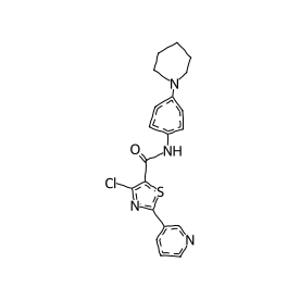 O=C(Nc1ccc(N2CCCCC2)cc1)c1sc(-c2cccnc2)nc1Cl